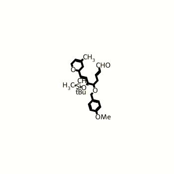 COc1ccc(COC(C/C=C/C=O)C(/C=C/C2CC(C)=CCO2)O[Si](C)(C)C(C)(C)C)cc1